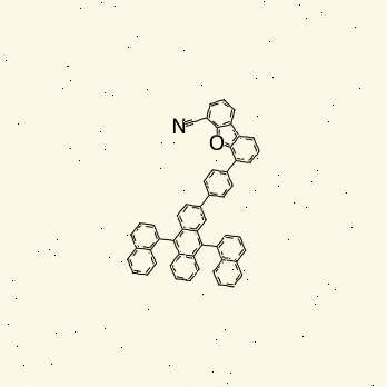 N#Cc1cccc2c1oc1c(-c3ccc(-c4ccc5c(-c6cccc7ccccc67)c6ccccc6c(-c6cccc7ccccc67)c5c4)cc3)cccc12